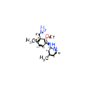 CCOc1c(Nc2cc(C)ccn2)ccc(C)c1CN